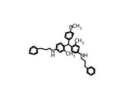 COc1ccc(C(c2ccc(NCCCc3ccccc3)cc2C)c2ccc(NCCCc3ccccc3)cc2C)cc1